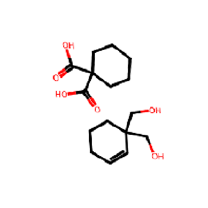 O=C(O)C1(C(=O)O)CCCCC1.OCC1(CO)C=CCCC1